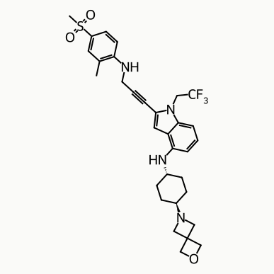 Cc1cc(S(C)(=O)=O)ccc1NCC#Cc1cc2c(N[C@H]3CC[C@H](N4CC5(COC5)C4)CC3)cccc2n1CC(F)(F)F